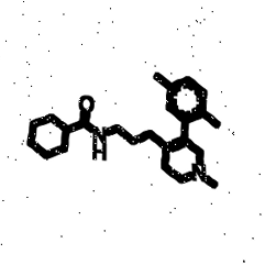 Cc1ccc(C)c(C2=C(CCCNC(=O)C3CCCCC3)CCN(C)C2)c1